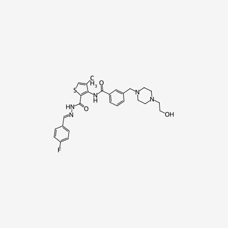 Cc1csc(C(=O)NN=Cc2ccc(F)cc2)c1NC(=O)c1cccc(CN2CCN(CCO)CC2)c1